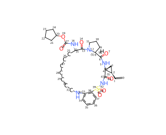 C=C[C@@H]1C[C@@]12NC(=O)[C@@H]1CCCN1C(=O)[C@@H](NC(=O)OC1CCCC1)CCCCCCCNc1ccccc1S(=O)(=O)NC2=O